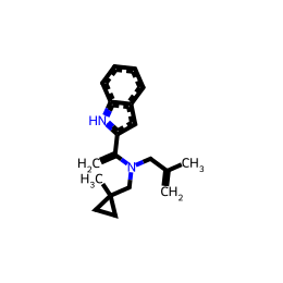 C=C(C)CN(CC1(C)CC1)C(=C)c1cc2ccccc2[nH]1